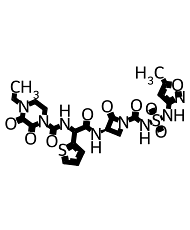 CCN1CCN(C(=O)NC(C(=O)N[C@@H]2CN(C(=O)NS(=O)(=O)Nc3cc(C)on3)C2=O)c2cccs2)C(=O)C1=O